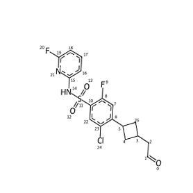 O=CCC1CC(c2cc(F)c(S(=O)(=O)Nc3cccc(F)n3)cc2Cl)C1